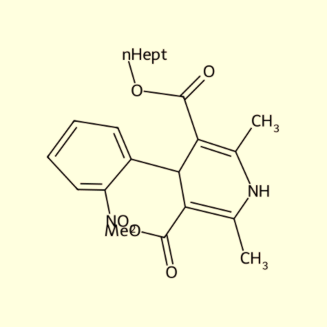 CCCCCCCOC(=O)C1=C(C)NC(C)=C(C(=O)OC)C1c1ccccc1[N+](=O)[O-]